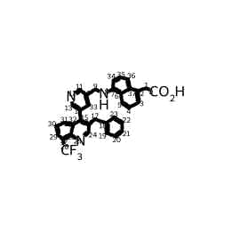 O=C(O)Cc1cccc2c(NCc3cncc(-c4c(Cc5ccccc5)cnc5c(C(F)(F)F)cccc45)c3)cccc12